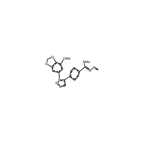 C=N/N=C(\NC)c1ccc(-c2cnnn2-c2cc(OC)c3c(c2)OCO3)cc1